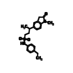 CCc1ccc(NS(=O)(=O)CCC(C)c2ccc3c(c2)CC(=O)N3C)cc1